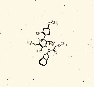 CCc1nc(-c2ccc(OC)cc2Cl)c(CC)nc1N[C@H]1c2ccccc2C[C@@H]1OC(=O)COC